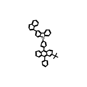 CC(C)(C)c1ccc2c(-c3ccc(-n4c5ccccc5c5cc(-c6cccc7ccccc67)ccc54)cc3)c3ccccc3c(-c3ccccc3)c2c1